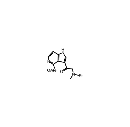 CCN(C)CC(=O)c1c[nH]c2ccnc(OC)c12